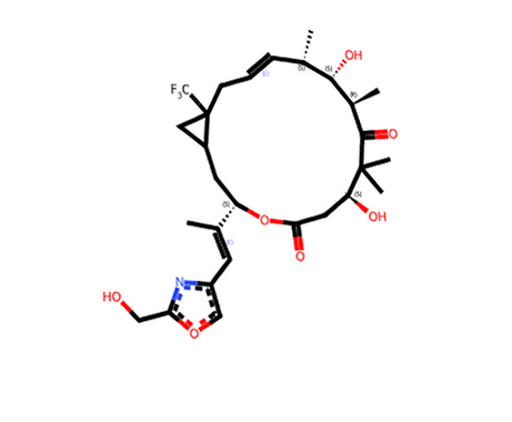 C/C(=C\c1coc(CO)n1)[C@@H]1CC2CC2(C(F)(F)F)C/C=C/[C@H](C)[C@H](O)[C@@H](C)C(=O)C(C)(C)[C@@H](O)CC(=O)O1